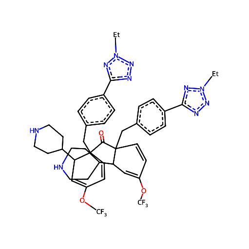 CCn1nnc(-c2ccc(CC3(C(=O)C4(Cc5ccc(-c6nnn(CC)n6)cc5)C=CC(OC(F)(F)F)=CC4C4CCNCC4)C=CC(OC(F)(F)F)=CC3C3CCNCC3)cc2)n1